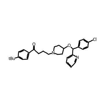 CC(C)(C)c1ccc(C(=O)CCCN2CCC(OC(c3ccc(Cl)cc3)c3ccccn3)CC2)cc1